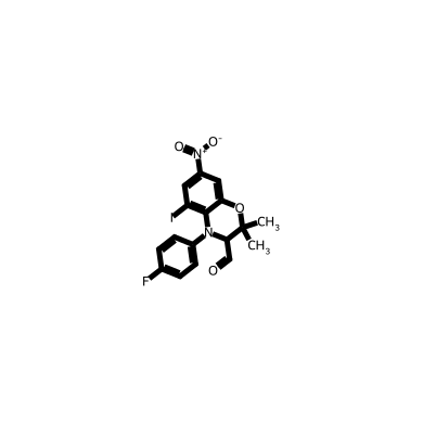 CC1(C)Oc2cc([N+](=O)[O-])cc(I)c2N(c2ccc(F)cc2)C1C=O